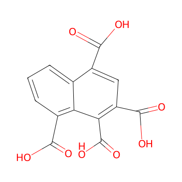 O=C(O)c1cc(C(=O)O)c2cccc(C(=O)O)c2c1C(=O)O